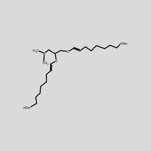 CCCCCCCCCCCCCCCCC=COCC(CN(C)C)OC=CCCCCCCCCCCCCCCCC